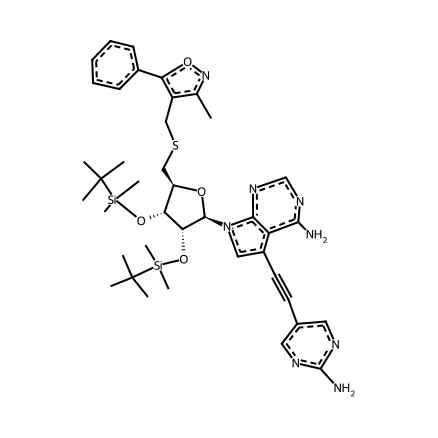 Cc1noc(-c2ccccc2)c1CSC[C@H]1O[C@@H](n2cc(C#Cc3cnc(N)nc3)c3c(N)ncnc32)[C@H](O[Si](C)(C)C(C)(C)C)[C@@H]1O[Si](C)(C)C(C)(C)C